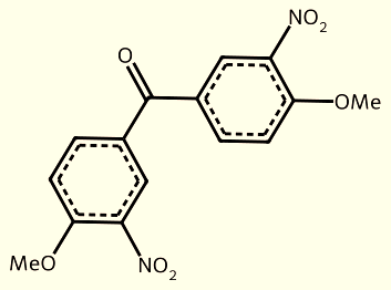 COc1ccc(C(=O)c2ccc(OC)c([N+](=O)[O-])c2)cc1[N+](=O)[O-]